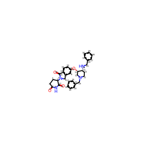 O=C1CCC(N2Cc3cc(O[C@@H]4CN(Cc5ccccc5)CC[C@H]4NCc4ccccc4)ccc3C2=O)C(=O)N1